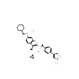 CN(C(=O)C1CCCCC1)c1ccc2c(C(=O)NC3CC3)c(NC(=O)c3ccc(-c4cn[nH]c4)cc3)[nH]c2c1